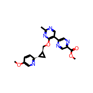 COC(=O)c1cnc(-c2cnc(C)nc2OC[C@H]2C[C@@H]2c2ccc(OC)cn2)cn1